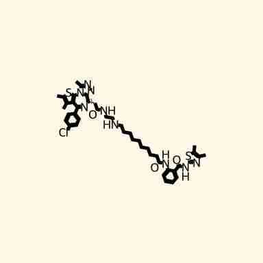 Cc1nc(NC(=O)c2ccccc2NC(=O)CCCCCCCCCNCCNC(=O)C[C@@H]2N=C(c3ccc(Cl)cc3)c3c(sc(C)c3C)-n3c(C)nnc32)sc1C